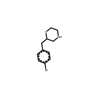 Brc1ccc(CC2CNCCS2)cc1